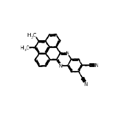 Cc1c(C)c2cccc3c4nc5cc(C#N)c(C#N)cc5nc4c4cccc1c4c23